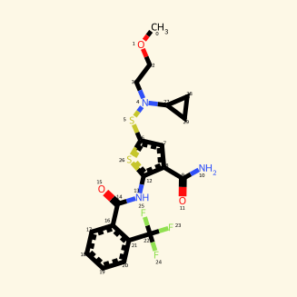 COCCN(Sc1cc(C(N)=O)c(NC(=O)c2ccccc2C(F)(F)F)s1)C1CC1